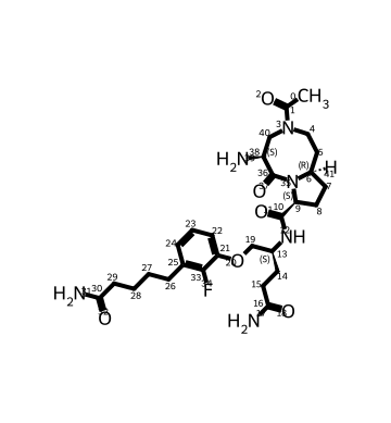 CC(=O)N1CC[C@H]2CC[C@@H](C(=O)N[C@@H](CCC(N)=O)COc3cccc(CCCCC(N)=O)c3F)N2C(=O)[C@@H](N)C1